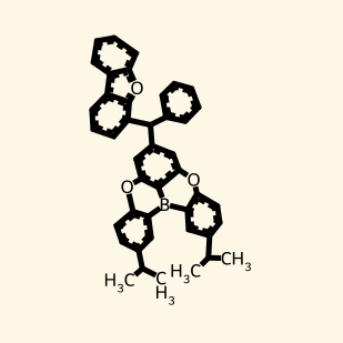 CC(C)c1ccc2c(c1)B1c3cc(C(C)C)ccc3Oc3cc(C(c4ccccc4)c4cccc5c4oc4ccccc45)cc(c31)O2